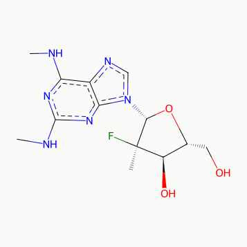 CNc1nc(NC)c2ncn([C@@H]3O[C@H](CO)[C@@H](O)[C@@]3(C)F)c2n1